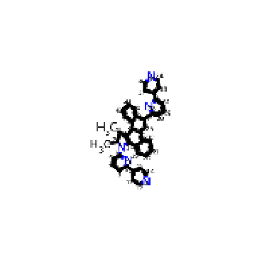 Cc1c(C)n(-c2cccc(-c3ccncc3)n2)c2c3ccccc3c3cc(-c4cccc(-c5ccncc5)n4)c4ccccc4c3c12